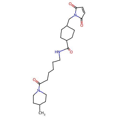 CC1CCN(C(=O)CCCCCNC(=O)C2CCC(CN3C(=O)C=CC3=O)CC2)CC1